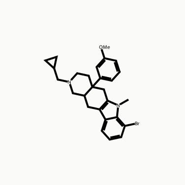 COc1cccc(C23CCN(CC4CC4)CC2Cc2c(n(C)c4c(Br)cccc24)C3)c1